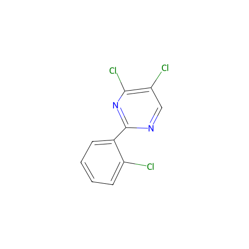 Clc1ccccc1-c1ncc(Cl)c(Cl)n1